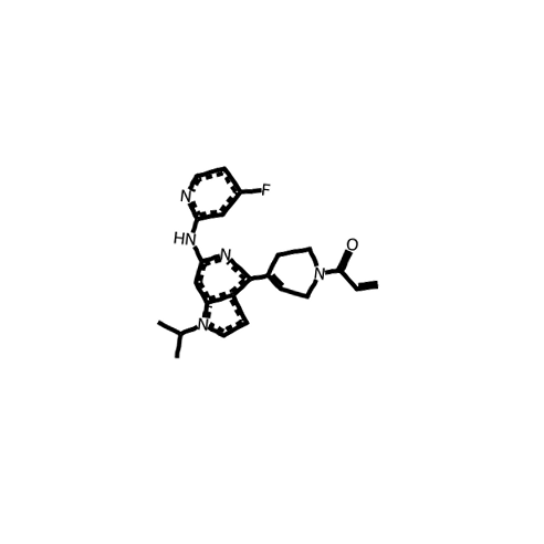 C=CC(=O)N1CC=C(c2nc(Nc3cc(F)ccn3)cc3c2ccn3C(C)C)CC1